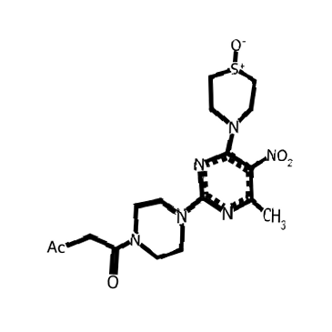 CC(=O)CC(=O)N1CCN(c2nc(C)c([N+](=O)[O-])c(N3CC[S+]([O-])CC3)n2)CC1